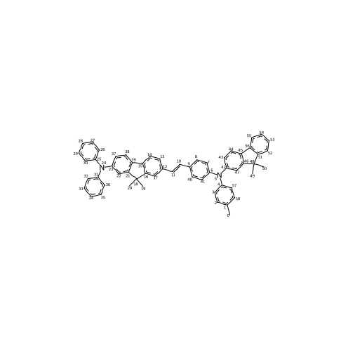 Cc1ccc(N(c2ccc(/C=C/c3ccc4c(c3)C(C)(C)c3cc(N(c5ccccc5)c5ccccc5)ccc3-4)cc2)c2ccc3c(c2)C(C)(C)c2ccccc2-3)cc1